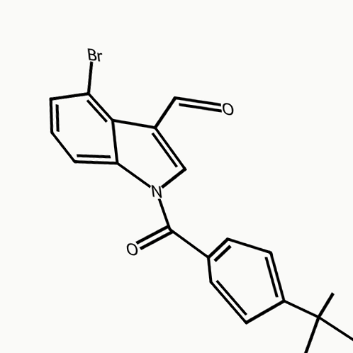 CC(C)(C)c1ccc(C(=O)n2cc(C=O)c3c(Br)cccc32)cc1